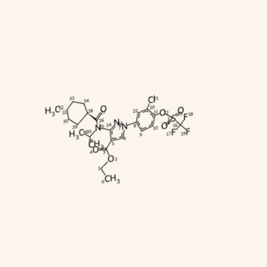 CCOC(=O)c1cn(-c2ccc(OS(=O)(=O)C(F)(F)F)c(Cl)c2)nc1N(C(=O)[C@H]1CC[C@H](C)CC1)C(C)C